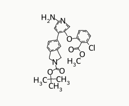 COC(=O)c1c(Cl)cccc1Oc1cnc(N)cc1-c1ccc2c(c1)CN(C(=O)OC(C)(C)C)C2